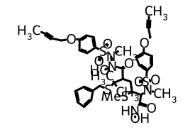 CC#CCOc1ccc(S(=O)(=O)N(C)C(C(=O)NO)C(CC(C(=O)N(O)N(C)S(=O)(=O)c2ccc(OCC#CC)cc2)C(C)(C)SCc2ccccc2)SC)cc1